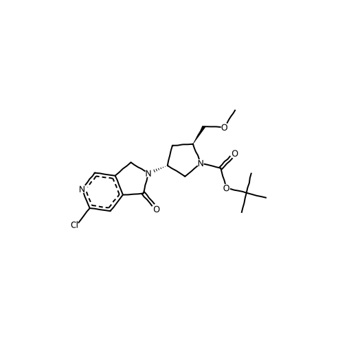 COC[C@@H]1C[C@@H](N2Cc3cnc(Cl)cc3C2=O)CN1C(=O)OC(C)(C)C